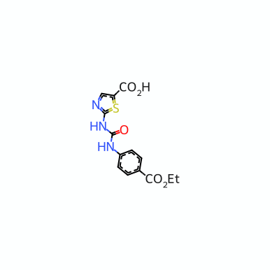 CCOC(=O)c1ccc(NC(=O)Nc2ncc(C(=O)O)s2)cc1